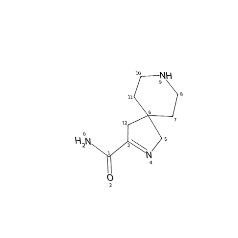 NC(=O)C1=NCC2(CCNCC2)C1